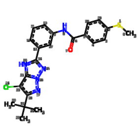 CSc1ccc(C(=O)Nc2cccc(-c3nn4nc(C(C)(C)C)c(Cl)c4[nH]3)c2)cc1